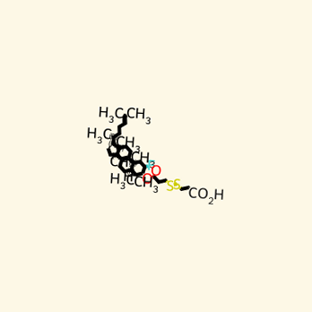 CC(C)=CCC[C@@H](C)[C@H]1CC[C@@]2(C)C3=C(CC[C@]12C)[C@@]1(C)CC(F)C(OC(=O)CCSSCCC(=O)O)C(C)(C)[C@@H]1CC3